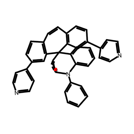 C1=Cc2ccc(-c3ccncc3)cc2C2(c3cc(-c4ccncc4)ccc31)c1ccccc1N(c1ccccc1)c1ccccc12